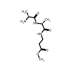 COC(=O)CCNC(=O)[C@H](C)NC(=O)[C@H](C)N